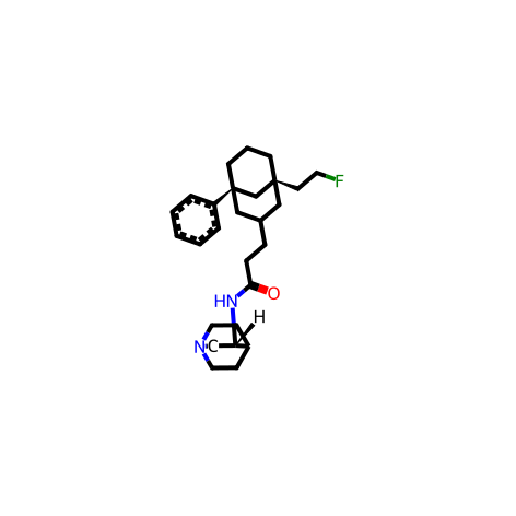 O=C(CCC1C[C@@]2(CCF)CCC[C@@](c3ccccc3)(C1)C2)N[C@H]1CN2CCC1CC2